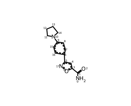 NC(=O)c1cc(-c2ccc(N3CCCC3)cc2)no1